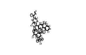 C=CC(=O)N1CCN(c2nc(=O)n(-c3c(C)cc(S(C)(=O)=O)nc3C(C)C)c3nc(-c4c(O)cccc4F)c(F)cc23)[C@@H](C)C1